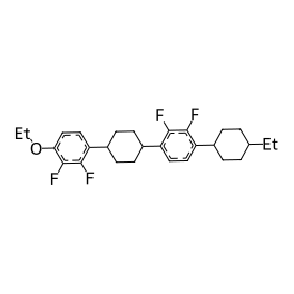 CCOc1ccc(C2CCC(c3ccc(C4CCC(CC)CC4)c(F)c3F)CC2)c(F)c1F